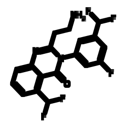 NCCc1nc2cccc(C(F)F)c2c(=O)n1-c1cc(F)cc(C(F)F)c1